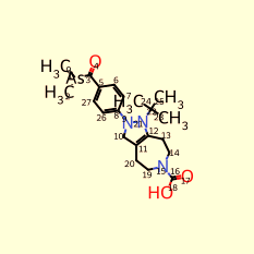 C[As](C)C(=O)c1ccc(N2CC3=C(CCN(C(=O)O)CC3)N2C(C)(C)C)cc1